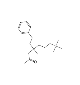 CC(=O)CC(C)(CCC[Si](C)(C)C)CCc1ccccc1